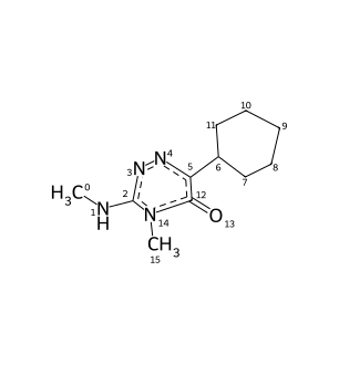 CNc1nnc(C2CCCCC2)c(=O)n1C